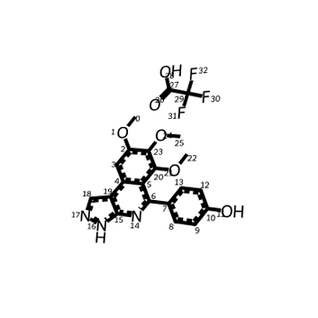 COc1cc2c(c(-c3ccc(O)cc3)nc3[nH]ncc32)c(OC)c1OC.O=C(O)C(F)(F)F